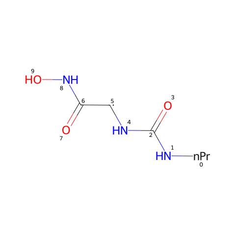 CCCNC(=O)N[CH]C(=O)NO